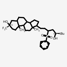 CC12CCC3C(CCC4C[C@](O)(C(F)(F)F)CCC43C)C1CCC2CCC(C[C@H](O)C(C)(C)C)S(=O)(=O)c1ccccc1